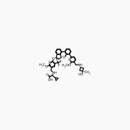 COc1nc(-c2cccc(-c3cccc4c3CC[C@@H]4Oc3nc(OC)c(CN[C@H](C(=O)O)C4CC4)cc3C(F)(F)F)c2Cl)ccc1CN[C@H]1C[C@](C)(O)C1